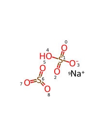 O=S(=O)([O-])O.O=S(=O)=O.[Na+]